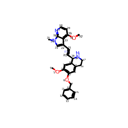 COc1cc2c(cc1OCc1ccccc1)CCNC2/C=C/c1cn(C)c2nccc(OC)c12